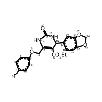 CCOC(=O)C1=C(COc2ccc(F)cc2)NC(=O)NC1c1ccc2c(c1)OCO2